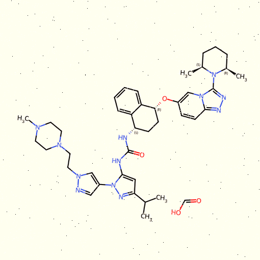 CC(C)c1cc(NC(=O)N[C@H]2CC[C@@H](Oc3ccc4nnc(N5[C@H](C)CCC[C@@H]5C)n4c3)c3ccccc32)n(-c2cnn(CCN3CCN(C)CC3)c2)n1.O=CO